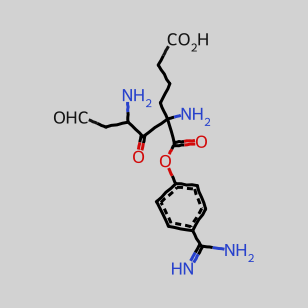 N=C(N)c1ccc(OC(=O)C(N)(CCCC(=O)O)C(=O)C(N)CC=O)cc1